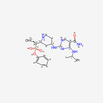 CC(C)C(C)Nc1nc(NC2CCNC([C@H](C=O)S(=O)(=O)Oc3ccccc3)C2)ncc1C(N)=O